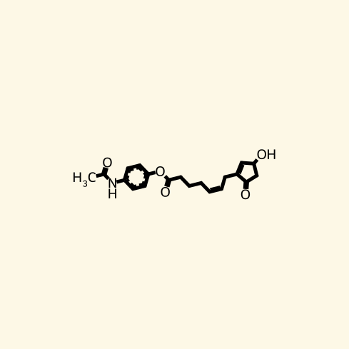 CC(=O)Nc1ccc(OC(=O)CCC/C=C\CC2=CC(O)CC2=O)cc1